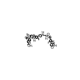 CCc1cc(Nc2ncc(Br)c(Nc3ccc4nc(C(C)(C)O)ccc4c3P(C)(C)=O)n2)c(OC)cc1N1CCC(NCCNC(=O)[C@@H]2CCN(c3cc(F)c(C4CCC(=O)NC4=O)c(F)c3)C2)CC1